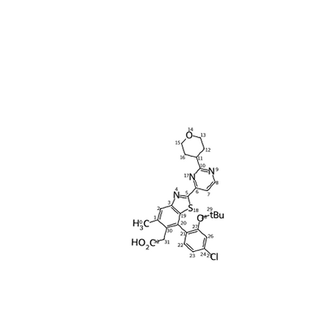 Cc1cc2nc(-c3ccnc(C4CCOCC4)n3)sc2c(-c2ccc(Cl)cc2OC(C)(C)C)c1CC(=O)O